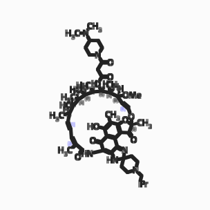 CO[C@H]1/C=C/O[C@@]2(C)Oc3c(C)c(O)c4c(c3C2=O)C2=NC3(CCN(CC(C)C)CC3)NC2=C(NC(=O)/C(C)=C\C=C\[C@H](C)[C@H](O)[C@@H](C)[C@@H](O)[C@@H](C)[C@H](OC(=O)CC(=O)N2CCC(N(C)C)CC2)[C@@H]1C)C4=O